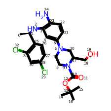 C[C@@H](Nc1cc(N2CCN(C(=O)OC(C)(C)C)C(CO)C2)ccc1N)c1ccc(Cl)cc1Cl